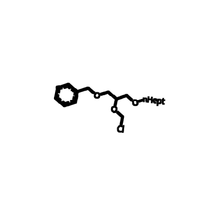 CCCCCCCOCC(COCc1ccccc1)OCCl